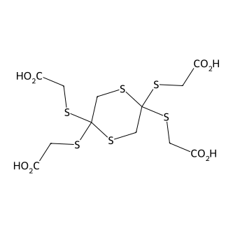 O=C(O)CSC1(SCC(=O)O)CSC(SCC(=O)O)(SCC(=O)O)CS1